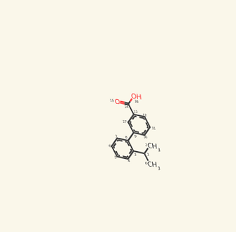 CC(C)c1ccccc1-c1cccc(C(=O)O)c1